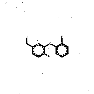 Fc1ccccc1Oc1cc(CCl)ccc1F